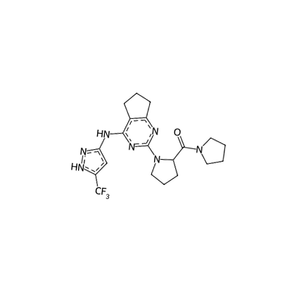 O=C(C1CCCN1c1nc2c(c(Nc3cc(C(F)(F)F)[nH]n3)n1)CCC2)N1CCCC1